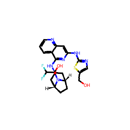 OCc1cnc(Nc2cc3ncccc3c(N[C@@H]3C[C@H]4CC[C@@H](C3)N4C(O)C(F)F)n2)s1